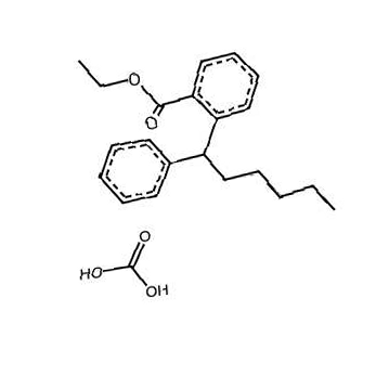 CCCCCC(c1ccccc1)c1ccccc1C(=O)OCC.O=C(O)O